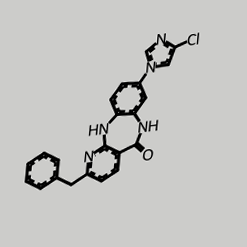 O=C1Nc2cc(-n3cnc(Cl)c3)ccc2Nc2nc(Cc3ccccc3)ccc21